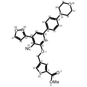 COC(=O)c1cc(COc2nc(-c3ccc(N4CCOCC4)cc3)cc(-c3ccon3)c2C#N)cs1